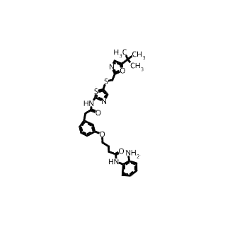 CC(C)(C)c1cnc(CSc2cnc(NC(=O)Cc3cccc(OCCCC(=O)Nc4ccccc4N)c3)s2)o1